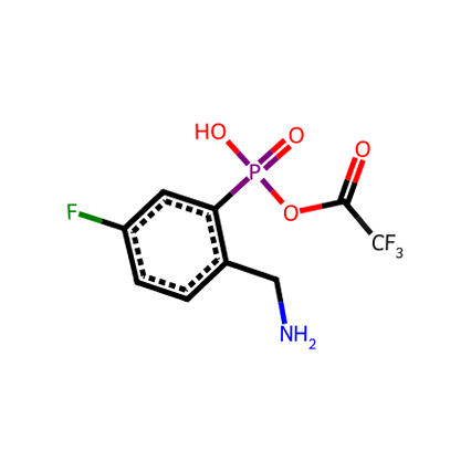 NCc1ccc(F)cc1P(=O)(O)OC(=O)C(F)(F)F